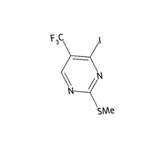 CSc1ncc(C(F)(F)F)c(I)n1